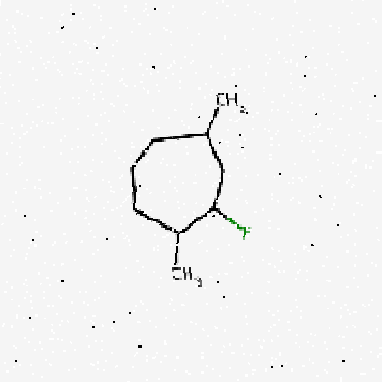 CC1CCCC(C)C(F)C1